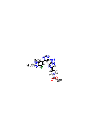 Cc1nc2c(F)cc(-c3cc(Nc4cnc(C5=CCN(C(=O)OC(C)(C)C)CC5)cn4)ncn3)cc2n1C(C)C